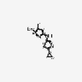 Cc1cc(Nc2ccc(C3CC3)nn2)ncc1Br